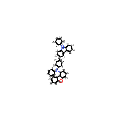 c1ccc(N(c2ccc(-c3ccc4c(c3)c3ccccc3n4-c3ccccc3)cc2)c2cccc3oc4ccccc4c23)cc1